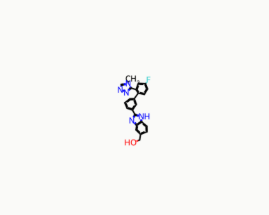 Cn1cnnc1-c1cc(F)ccc1-c1cccc(-c2nc3cc(CO)ccc3[nH]2)c1